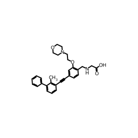 Cc1c(C#Cc2ccc(CNCC(=O)O)c(OCCN3CCOCC3)c2)cccc1-c1ccccc1